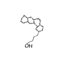 OCCCCc1ccc2ccc3cc4ccccc4cc3c2c1